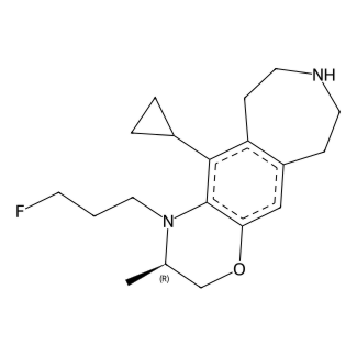 C[C@@H]1COc2cc3c(c(C4CC4)c2N1CCCF)CCNCC3